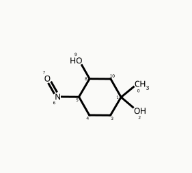 CC1(O)CCC(N=O)C(O)C1